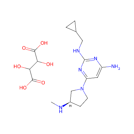 CN[C@@H]1CCN(c2cc(N)nc(NCC3CC3)n2)C1.O=C(O)C(O)C(O)C(=O)O